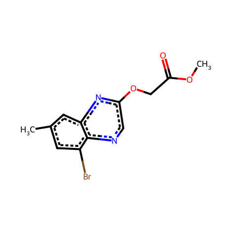 COC(=O)COc1cnc2c(Br)cc(C)cc2n1